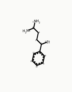 CCC(CCC(N)N)c1ccccc1